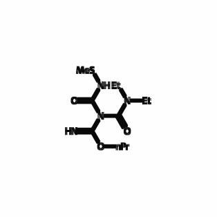 CCCOC(=N)N(C(=O)NSC)C(=O)N(CC)CC